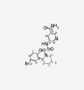 C[C@@H]1CC[C@@H](c2cccc(Br)c2)N(C(=O)C(=O)Nc2cncc(C(N)=O)c2)C1